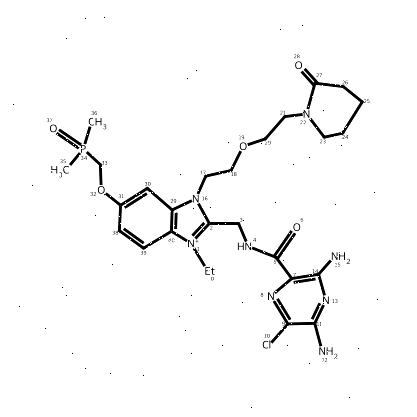 CC[n+]1c(CNC(=O)c2nc(Cl)c(N)nc2N)n(CCOCCN2CCCCC2=O)c2cc(OCP(C)(C)=O)ccc21